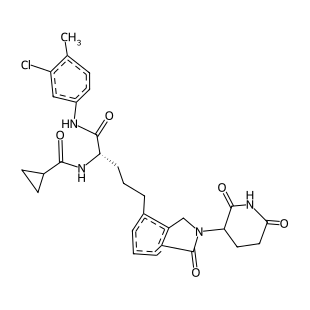 Cc1ccc(NC(=O)[C@H](CCCc2cccc3c2CN(C2CCC(=O)NC2=O)C3=O)NC(=O)C2CC2)cc1Cl